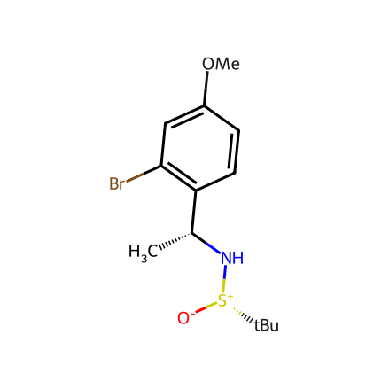 COc1ccc([C@@H](C)N[S@@+]([O-])C(C)(C)C)c(Br)c1